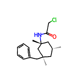 C[C@@H]1C[C@@](C)(Cc2ccccc2)C[C@](C)(NC(=O)CCl)C1